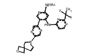 CC(=O)Nc1cc(Nc2ccnc(C(C)(F)F)n2)c(-c2cnc(N3CCC4(COC4)C3)cn2)cn1